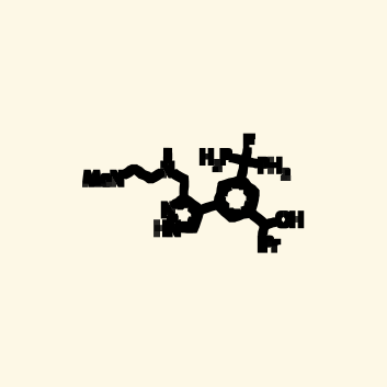 CNCCN(C)Cc1n[nH]cc1-c1cc(C(O)C(C)C)cc(C(F)(P)P)c1